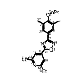 CCCOc1c(C)cc(-c2noc(-c3cc(CC)nc(CC)c3)n2)cc1C